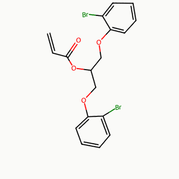 C=CC(=O)OC(COc1ccccc1Br)COc1ccccc1Br